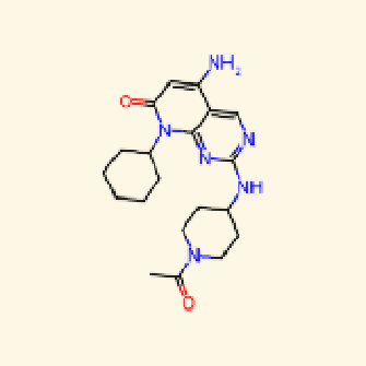 CC(=O)N1CCC(Nc2ncc3c(N)cc(=O)n(C4CCCCC4)c3n2)CC1